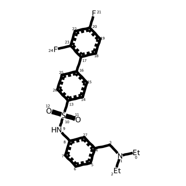 CCN(CC)Cc1cccc(NS(=O)(=O)c2ccc(-c3ccc(F)cc3F)cc2)c1